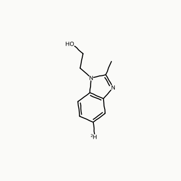 [2H]c1ccc2c(c1)nc(C)n2CCO